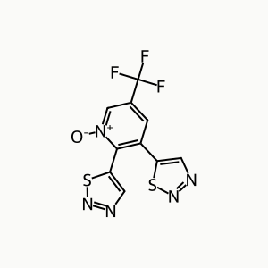 [O-][n+]1cc(C(F)(F)F)cc(-c2cnns2)c1-c1cnns1